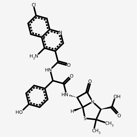 CC1(C)S[C@@H]2[C@H](NC(=O)C(NC(=O)c3cnc4cc(Cl)ccc4c3N)c3ccc(O)cc3)C(=O)N2[C@H]1C(=O)O